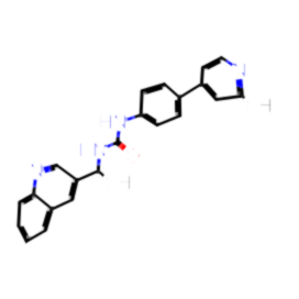 Cc1cc(-c2ccc(NC(=O)NC(C)c3cnc4ccccc4c3)cc2)ccn1